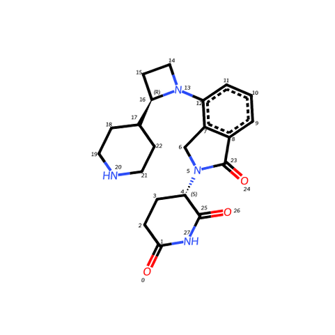 O=C1CC[C@H](N2Cc3c(cccc3N3CC[C@@H]3C3CCNCC3)C2=O)C(=O)N1